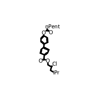 CCCCCC(=O)Oc1ccc(-c2ccc(C(=O)OCC(Cl)CC(C)C)cc2)cc1